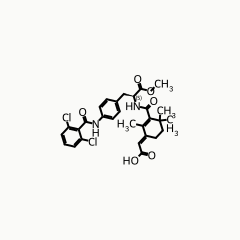 COC(=O)[C@H](Cc1ccc(NC(=O)c2c(Cl)cccc2Cl)cc1)NC(=O)C1=C(C)C(=CC(=O)O)CCC1(C)C